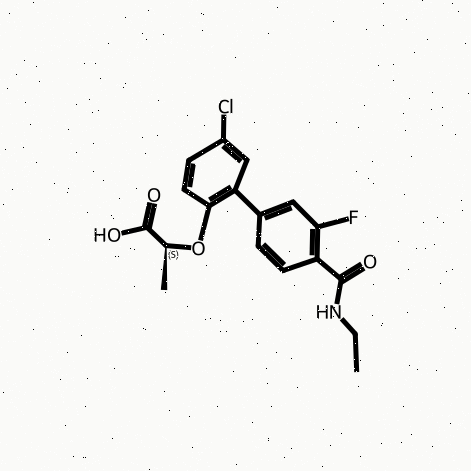 CCNC(=O)c1ccc(-c2cc(Cl)ccc2O[C@@H](C)C(=O)O)cc1F